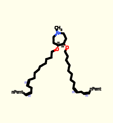 CCCCC/C=C\C/C=C\CCCCCCCCO[C@H]1CCN(C)CC[C@H]1OCCCCCCCC/C=C\C/C=C\CCCCC